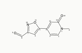 Cn1ccc(-c2cc(C=O)no2)cc1=O